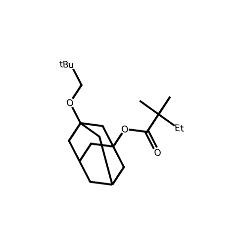 CCC(C)(C)C(=O)OC12CC3CC(CC(OCC(C)(C)C)(C3)C1)C2